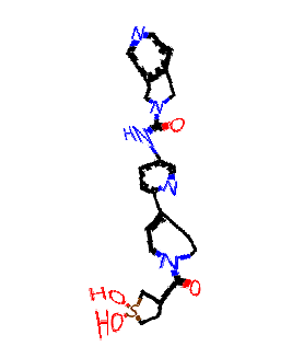 O=C(Nc1ccc(C2=CCN(C(=O)C3CCS(O)(O)C3)CC2)nc1)N1Cc2ccncc2C1